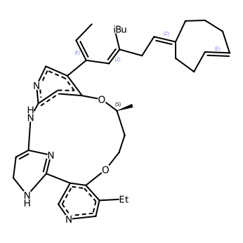 C/C=C(\C=C(\C/C=C1\CC/C=C/CCC1)C(C)CC)c1cnc2cc1O[C@@H](C)CCOc1c(CC)cncc1C1=NC(=CCN1)N2